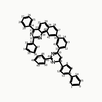 c1ccc(-c2ccc(-c3cc(-c4cccc(-c5ccc6ccc7c(-c8ccccc8)nc(-c8ccccc8)nc7c6c5)c4)nc(-c4ccccc4)n3)cc2)cc1